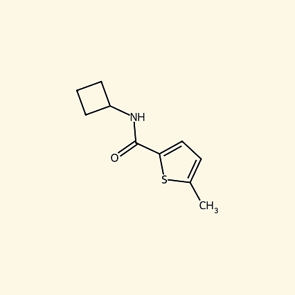 Cc1ccc(C(=O)NC2CCC2)s1